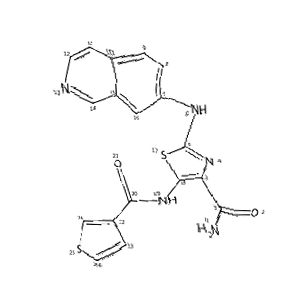 NC(=O)c1nc(Nc2ccc3ccncc3c2)sc1NC(=O)c1ccsc1